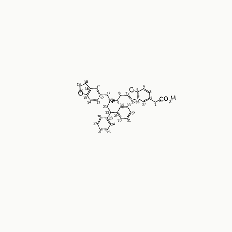 O=C(O)Cc1ccc2oc(CCN(Cc3ccc4c(c3)CCO4)CC(c3ccccc3)c3ccccc3)cc2c1